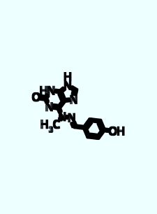 CN(/N=C/c1ccc(O)cc1)c1nc(=O)[nH]c2[nH]cnc12